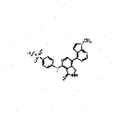 Cn1ccc2c(-c3cnc(Nc4ccc(S(C)(=O)=O)cc4)c4c3CNC4=O)ccnc21